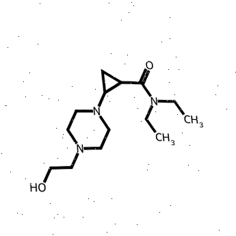 CCN(CC)C(=O)C1CC1N1CCN(CCO)CC1